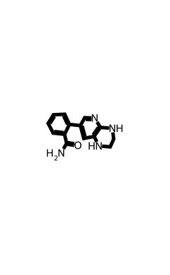 NC(=O)c1ccccc1-c1cnc2c(c1)NCCN2